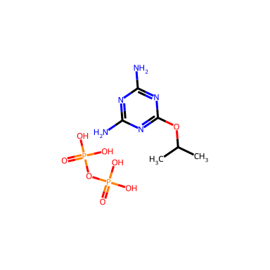 CC(C)Oc1nc(N)nc(N)n1.O=P(O)(O)OP(=O)(O)O